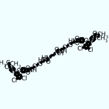 CC(C)C(=O)N1CCN([C@H]2Cc3c(Cl)cc(Cl)cc3[C@@H]2Oc2ccc(S(=O)(=O)NCCOCCOCCNC(=O)NCCCCNC(=O)NCCOCCOCCNS(=O)(=O)c3ccc(O[C@H]4c5cc(Cl)cc(Cl)c5C[C@@H]4N4CCN(C(=O)N(C)C)CC4)cc3)cc2)CC1